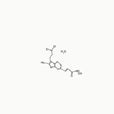 CCCCc1nc2cc(/C=C/C(=O)NO)ccc2n1CCN(CC)CC.O